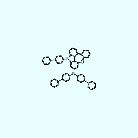 c1ccc(-c2ccc(N(c3ccc(-c4ccccc4)cc3)c3cc4oc5ccccc5c5cccc6c5c4c(c3)n6-c3ccc(-c4ccccc4)cc3)cc2)cc1